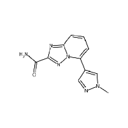 Cn1cc(-c2cccc3nc(C(N)=O)nn23)cn1